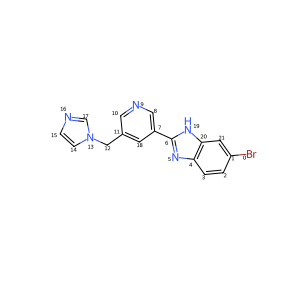 Brc1ccc2nc(-c3cncc(Cn4ccnc4)c3)[nH]c2c1